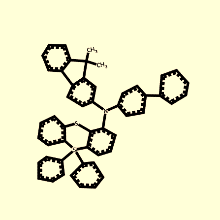 CC1(C)c2ccccc2-c2ccc(N(c3ccc(-c4ccccc4)cc3)c3cccc4c3Sc3ccccc3[Si]4(c3ccccc3)c3ccccc3)cc21